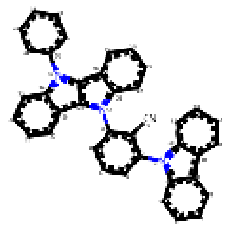 N#Cc1c(-n2c3ccccc3c3ccccc32)cccc1-n1c2ccccc2c2c1c1ccccc1n2-c1ccccc1